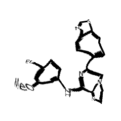 CCc1ccc(Nc2nc(-c3ccc4scnc4c3)cn3ccnc23)cc1OC